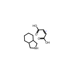 C1CCC2CNCC2C1.O=C(O)/C=C\C(=O)O